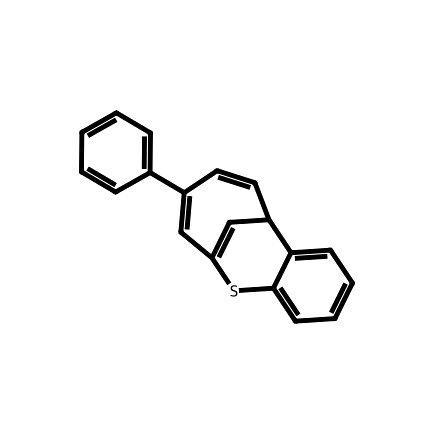 C1=CC2C=C(C=C1c1ccccc1)Sc1ccccc12